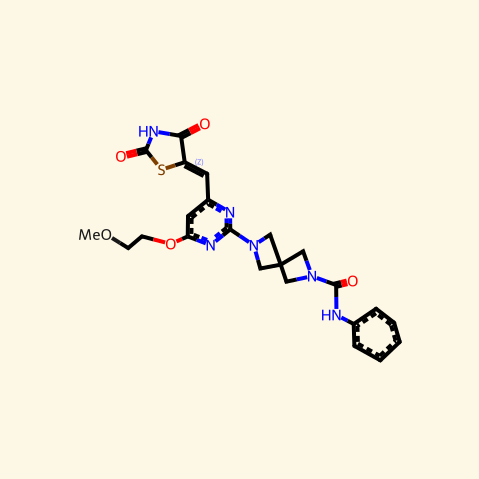 COCCOc1cc(/C=C2\SC(=O)NC2=O)nc(N2CC3(CN(C(=O)Nc4ccccc4)C3)C2)n1